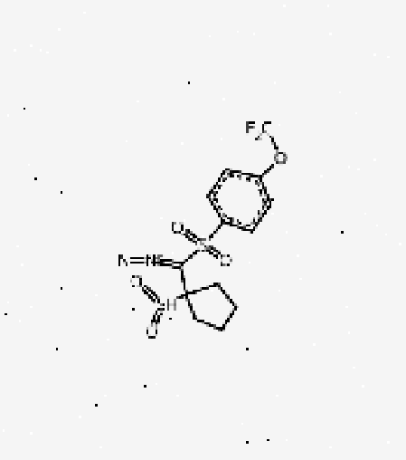 [N-]=[N+]=C(C1([SH](=O)=O)CCCC1)S(=O)(=O)c1ccc(OC(F)(F)F)cc1